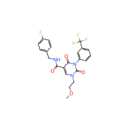 COCCn1cc(C(=O)NCc2ccc(F)cc2)c(=O)n(-c2cccc(C(F)(F)F)c2)c1=O